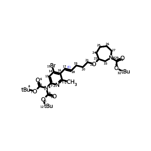 Cc1nc(N(C(=O)OC(C)(C)C)C(=O)OC(C)(C)C)cc(Br)c1/C=C/CCCOC1CCCCN(C(=O)OC(C)(C)C)C1